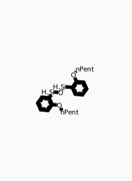 CCCCCOc1ccccc1[SiH2]O[SiH2]c1ccccc1OCCCCC